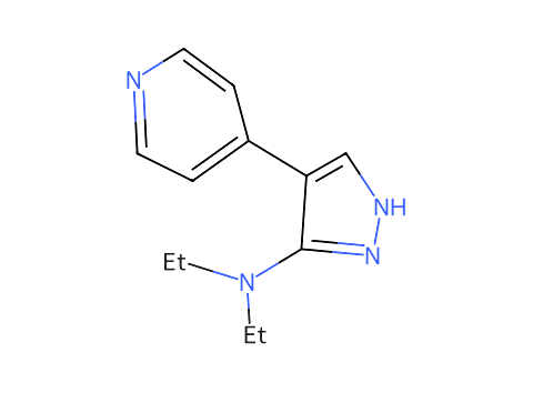 CCN(CC)c1n[nH]cc1-c1ccncc1